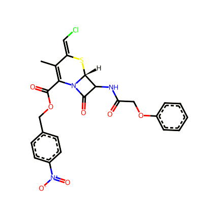 CC1=C(C(=O)OCc2ccc([N+](=O)[O-])cc2)N2C(=O)C(NC(=O)COc3ccccc3)[C@H]2S/C1=C\Cl